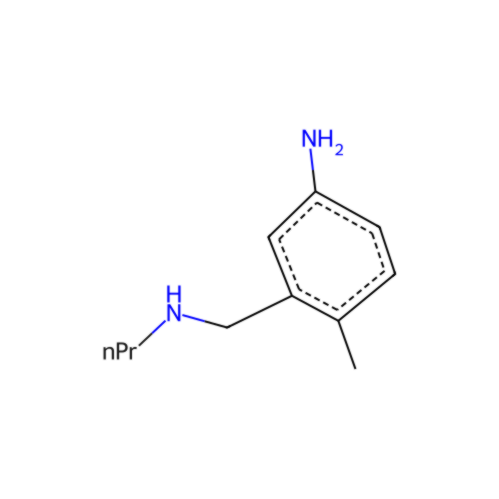 CCCNCc1cc(N)ccc1C